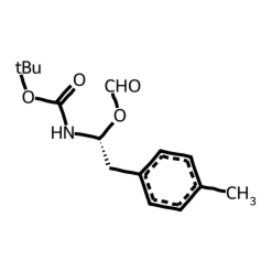 Cc1ccc(C[C@H](NC(=O)OC(C)(C)C)OC=O)cc1